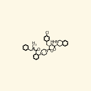 CN(Cc1ccccc1)C(=O)c1ccccc1N1CCN(C(=O)[C@@H](Cc2ccc(Cl)cc2)NC(=O)[C@@H]2Cc3ccccc3CN2)CC1